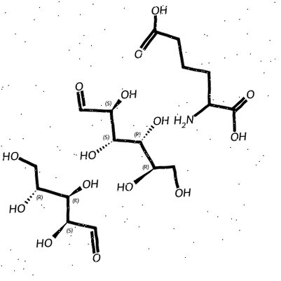 NC(CCCC(=O)O)C(=O)O.O=C[C@@H](O)[C@@H](O)[C@H](O)[C@H](O)CO.O=C[C@@H](O)[C@H](O)[C@H](O)CO